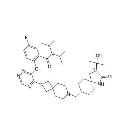 CC(C)N(C(=O)c1cc(F)ccc1Oc1nncnc1N1CC2(CCN(C[C@H]3CC[C@]4(CC3)C[C@@H](C(C)(C)O)C(=O)N4)CC2)C1)C(C)C